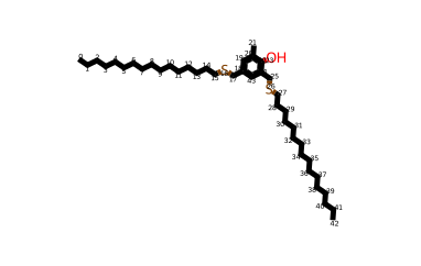 CCCCCCCCCCCCCCCCSCc1cc(C)c(O)c(CSCCCCCCCCCCCCCCCC)c1